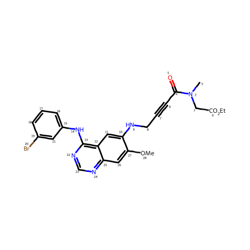 CCOC(=O)CN(C)C(=O)C#CCNc1cc2c(Nc3cccc(Br)c3)ncnc2cc1OC